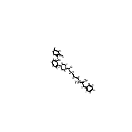 Cc1ccc(Sc2ccccc2N2CCN(C(=O)OCCCNC(=O)Cc3ccccc3)CC2)c(C)c1